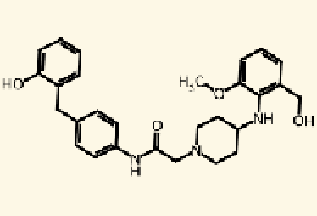 COc1cccc(CO)c1NC1CCN(CC(=O)Nc2ccc(Cc3ccccc3O)cc2)CC1